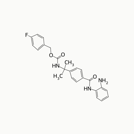 CC(C)(NC(=O)OCc1ccc(F)cc1)c1ccc(C(=O)Nc2ccccc2N)cc1